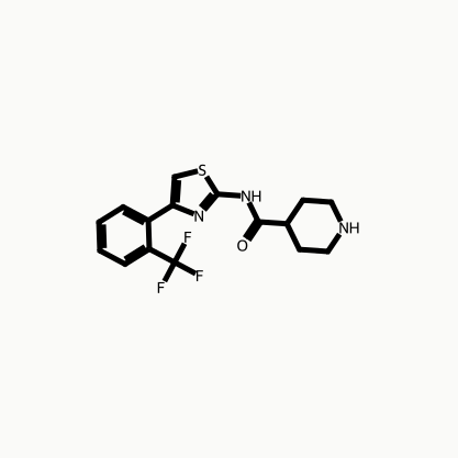 O=C(Nc1nc(-c2ccccc2C(F)(F)F)cs1)C1CCNCC1